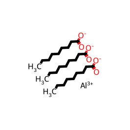 CCCCCCCCC(=O)[O-].CCCCCCCCC(=O)[O-].CCCCCCCCC(=O)[O-].[Al+3]